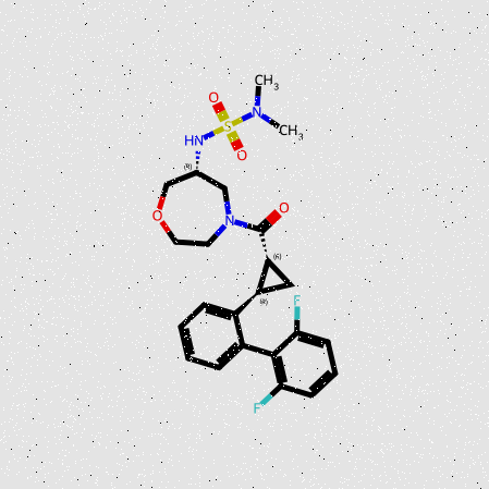 CN(C)S(=O)(=O)N[C@H]1COCCN(C(=O)[C@@H]2C[C@H]2c2ccccc2-c2c(F)cccc2F)C1